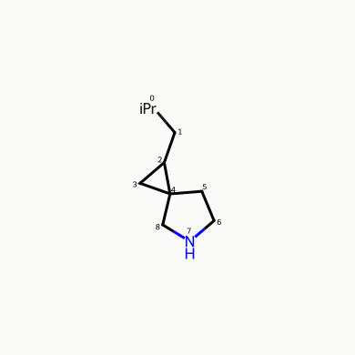 CC(C)CC1CC12CCNC2